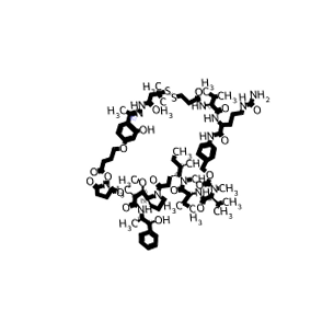 CC[C@H](C)[C@@H](CCC(=O)N1CCC[C@H]1[C@H](OC)[C@@H](C)C(=O)N[C@H](C)[C@@H](O)c1ccccc1)N(C)C(=O)[C@@H](NC(=O)[C@H](C(C)C)N(C)C(=O)OCc1ccc(NC(=O)C(CCCNC(N)=O)NC(=O)[C@@H](NC(=O)CCSSC(C)(C)CC(=O)N/N=C(\C)c2ccc(OCCCC(=O)ON3C(=O)CCC3=O)cc2O)C(C)C)cc1)C(C)C